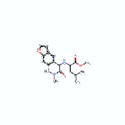 COC(=O)C(CC(C)C)NC(C(=O)N(C)C)c1ccc2occc2c1